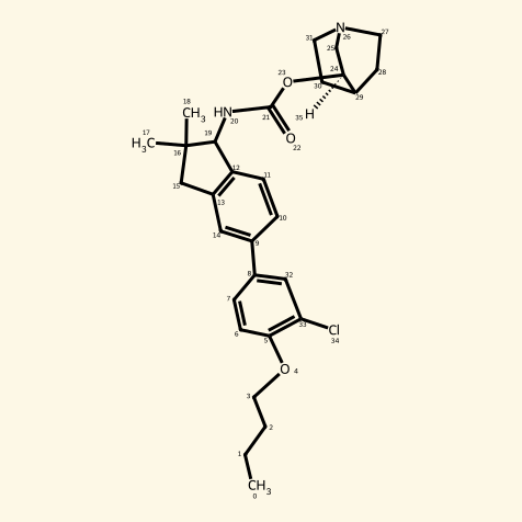 CCCCOc1ccc(-c2ccc3c(c2)CC(C)(C)C3NC(=O)O[C@H]2CN3CCC2CC3)cc1Cl